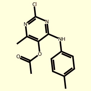 CC(=O)Oc1c(C)nc(Cl)nc1Nc1ccc(C)cc1